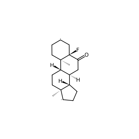 C[C@@]12[CH]CC[C@H]1[C@@H]1CC(=O)[C@@]3(F)C[CH]CC[C@]3(C)[C@H]1CC2